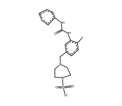 CCS(=O)(=O)N1CCN(Cc2ccc(F)c(NC(=O)Nc3cccnc3)c2)CC1